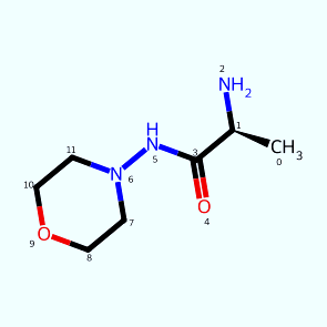 C[C@H](N)C(=O)NN1CCOCC1